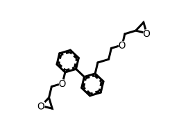 c1ccc(-c2ccccc2OCC2CO2)c(CCCOCC2CO2)c1